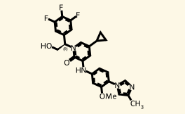 COc1cc(Nc2cc(C3CC3)cn([C@@H](CO)c3cc(F)c(F)c(F)c3)c2=O)ccc1-n1cnc(C)c1